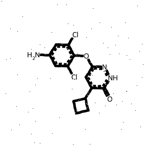 Nc1cc(Cl)c(Oc2cc(C3CCC3)c(=O)[nH]n2)c(Cl)c1